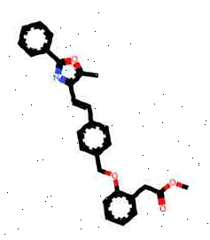 COC(=O)Cc1ccccc1OCc1ccc(/C=C/c2nc(-c3ccccc3)oc2C)cc1